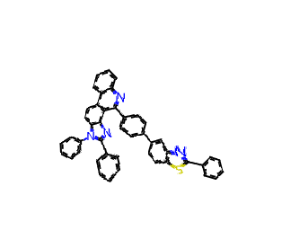 c1ccc(-c2nc3cc(-c4ccc(-c5nc6ccccc6c6ccc7c(nc(-c8ccccc8)n7-c7ccccc7)c56)cc4)ccc3s2)cc1